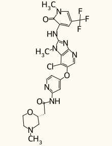 CN1CCO[C@H](CC(=O)Nc2cc(Oc3cnc4nc(Nc5cc(C(F)(F)F)cn(C)c5=O)n(C)c4c3Cl)ccn2)C1